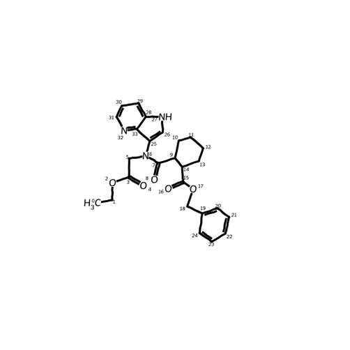 CCOC(=O)CN(C(=O)C1CCCCC1C(=O)OCc1ccccc1)c1c[nH]c2cccnc12